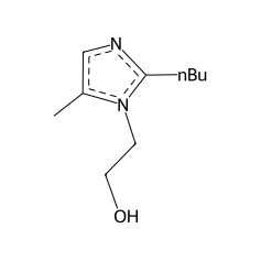 CCCCc1ncc(C)n1CCO